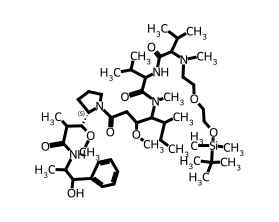 CCC(C)C(C(CC(=O)N1CCC[C@H]1C(OC)C(C)C(=O)NC(C)C(O)c1ccccc1)OC)N(C)C(=O)C(NC(=O)C(C(C)C)N(C)CCOCCO[Si](C)(C)C(C)(C)C)C(C)C